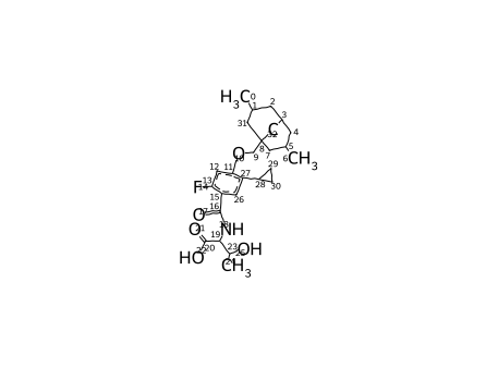 CC1CC2CC(C)CC(COc3cc(F)c(C(=O)NC(C(=O)O)C(C)O)cc3C3CC3)(C1)C2